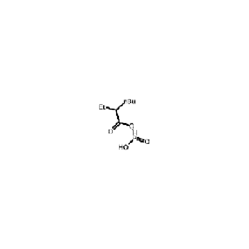 CCCCC(CC)C(=O)O[PH](=O)O